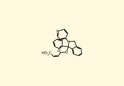 O=C(O)/C=C\C(=O)OC1(c2ccccc2)c2ccccc2CN1c1ccncc1